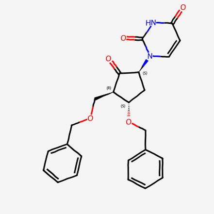 O=C1[C@H](COCc2ccccc2)[C@@H](OCc2ccccc2)C[C@@H]1n1ccc(=O)[nH]c1=O